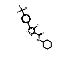 O=C(NC1CCCCC1)c1noc(-c2ccc(C(F)(F)F)cc2)c1Cl